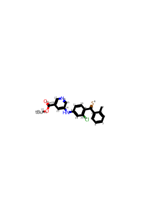 Cc1ccccc1C(=S)c1ccc(Nc2cncc(C(=O)OC(C)(C)C)c2)cc1Cl